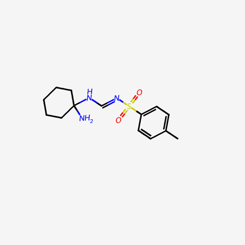 Cc1ccc(S(=O)(=O)N=CNC2(N)CCCCC2)cc1